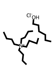 CCCCCCO.CCCC[N+](CCCC)(CCCC)CCCC.[Cl-]